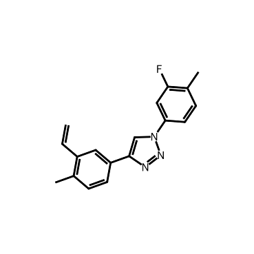 C=Cc1cc(-c2cn(-c3ccc(C)c(F)c3)nn2)ccc1C